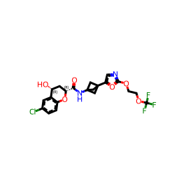 O=C(NC12CC(c3cnc(OCCOC(F)(F)F)o3)(C1)C2)[C@H]1C[C@@H](O)c2cc(Cl)ccc2O1